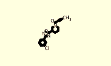 CC#CC(=O)N1CCCC(c2nc(-c3cccc(Cl)c3)no2)C1